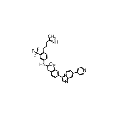 CC(=N)CCCc1ccc(NC(=O)Cc2ccc(-c3cnc4cc(-c5ccncc5)ccn34)cc2F)cc1C(F)(F)F